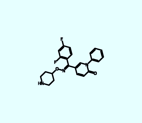 O=c1ccc(C(=NOC2CCNCC2)c2ccc(F)cc2F)cn1-c1ccccc1